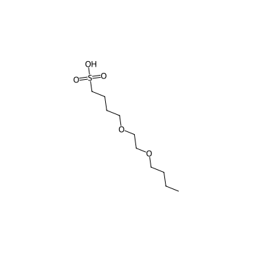 CCCCOCCOCCCCS(=O)(=O)O